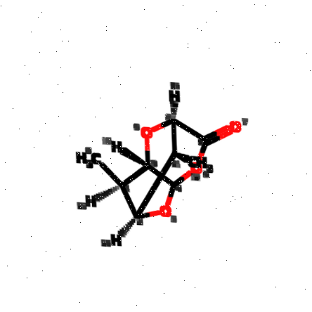 C[C@@H]1[C@@H]2OC3OC(=O)[C@H](O[C@H]31)[C@H]2C